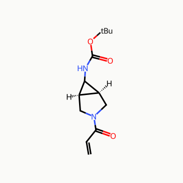 C=CC(=O)N1C[C@@H]2C(NC(=O)OC(C)(C)C)[C@@H]2C1